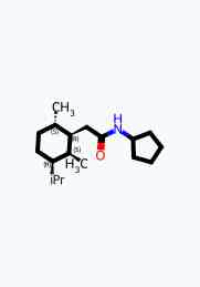 CC(C)[C@H]1CC[C@H](C)[C@@H](CC(=O)NC2CCCC2)[C@H]1C